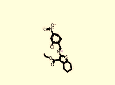 CCOC(=O)c1c(/N=C/c2ccc([N+](=O)[O-])cc2Cl)sc2c1CCCC2